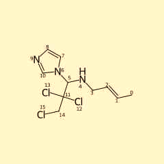 CC=CCNC(n1ccnc1)C(Cl)(Cl)CCl